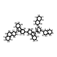 c1ccc2cc(-c3cc(-c4ccc5ccccc5c4)nc(-n4c5ccccc5c5cc(-c6ccc7c(c6)c6ccccc6n7-c6ccc7c(ccc8ccccc87)c6)ccc54)n3)ccc2c1